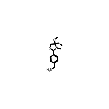 COC1(OC)CSC(c2ccc(CN)cc2)N1C